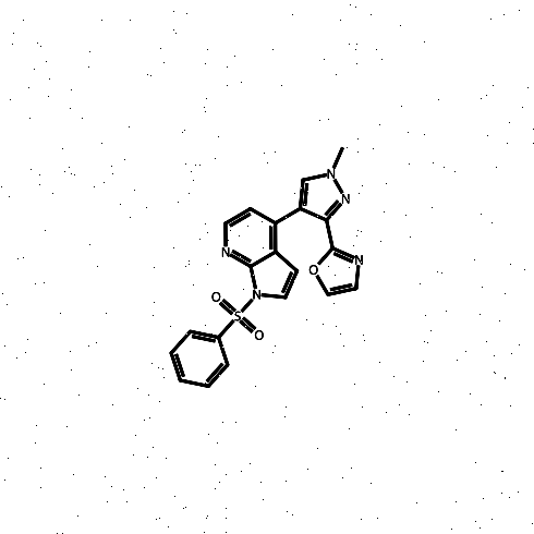 Cn1cc(-c2ccnc3c2ccn3S(=O)(=O)c2ccccc2)c(-c2ncco2)n1